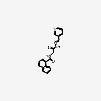 O=C(CNC(=O)c1cccc2ccccc12)NN=Cc1cccnc1